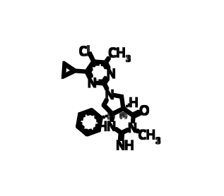 Cc1nc(N2C[C@H]3C(=O)N(C)C(=N)N[C@@]3(c3ccccc3)C2)nc(C2CC2)c1Cl